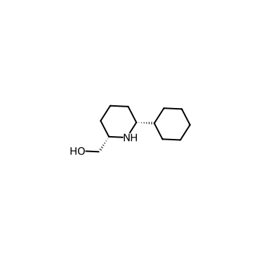 OC[C@@H]1CCC[C@H](C2CCCCC2)N1